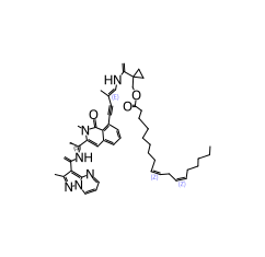 C=C(N[C@@H](C)c1cc2cccc(C#C/C(C)=C/NC(=C)C3(COC(=O)CCCCCCC/C=C\C/C=C\CCCCC)CC3)c2c(=O)n1C)c1c(C)nn2cccnc12